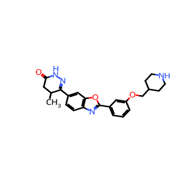 CC1CC(=O)NN=C1c1ccc2nc(-c3cccc(OCC4CCNCC4)c3)oc2c1